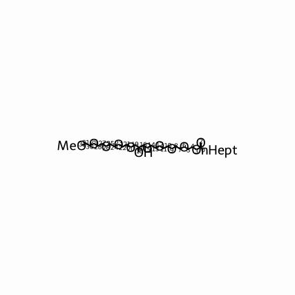 CCCCCCCC(=O)OCCOCCOCCOCCOCC(O)COCCOCCOCCOCCOC